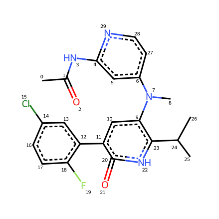 CC(=O)Nc1cc(N(C)c2cc(-c3cc(Cl)ccc3F)c(=O)[nH]c2C(C)C)ccn1